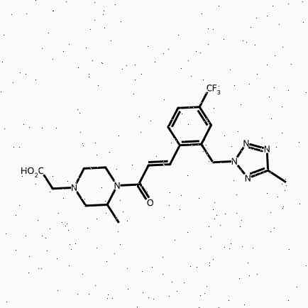 Cc1nnn(Cc2cc(C(F)(F)F)ccc2/C=C/C(=O)N2CCN(CC(=O)O)CC2C)n1